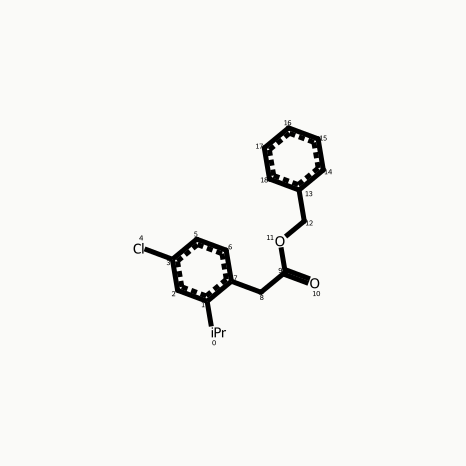 CC(C)c1cc(Cl)ccc1CC(=O)OCc1ccccc1